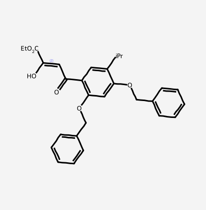 CCOC(=O)/C(O)=C/C(=O)c1cc(C(C)C)c(OCc2ccccc2)cc1OCc1ccccc1